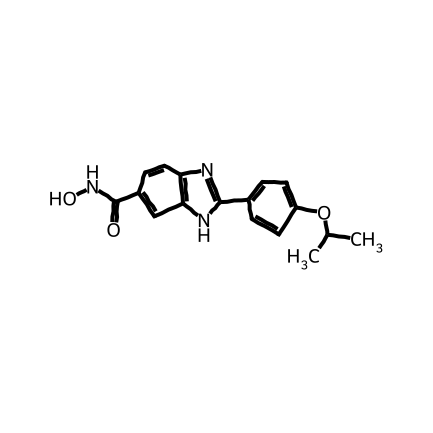 CC(C)Oc1ccc(-c2nc3ccc(C(=O)NO)cc3[nH]2)cc1